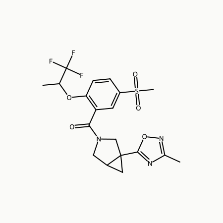 Cc1noc(C23CC2CN(C(=O)c2cc(S(C)(=O)=O)ccc2OC(C)C(F)(F)F)C3)n1